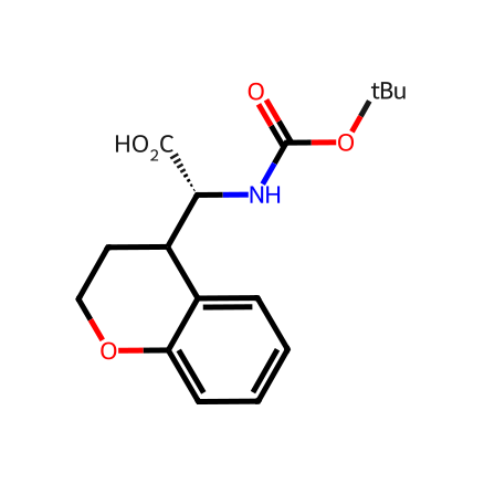 CC(C)(C)OC(=O)N[C@@H](C(=O)O)C1CCOc2ccccc21